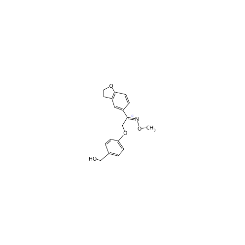 CO/N=C(\COc1ccc(CO)cc1)c1ccc2c(c1)CCO2